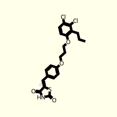 CCCc1c(OCCCOc2ccc(/C=C3\SC(=O)NC3=O)cc2)ccc(Cl)c1Cl